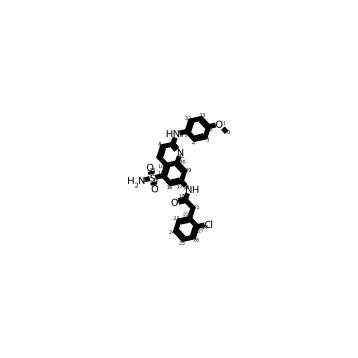 COc1ccc(Nc2ccc3c(S(N)(=O)=O)cc(NC(=O)Cc4ccccc4Cl)cc3n2)cc1